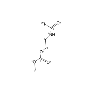 COC(=O)OCCNC(=O)I